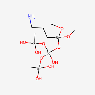 CO[Si](CCCN)(OC)O[Si](O)(O[Si](C)(O)O)O[Si](C)(O)O